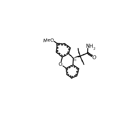 COc1ccc2c(c1)Oc1ccccc1[C@@H]2C(C)(C)C(N)=O